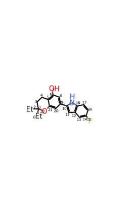 CCC1(CC)CCc2c(O)cc(-c3cc4cc(F)ccc4[nH]3)cc2O1